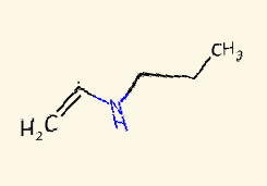 C=[C]NCCC